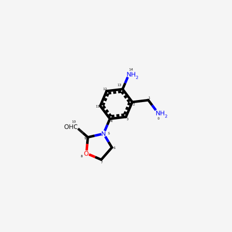 NCc1cc(N2CCOC2C=O)ccc1N